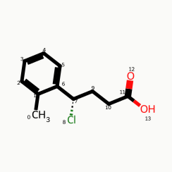 Cc1ccccc1[C@@H](Cl)CCC(=O)O